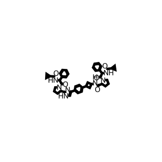 O=C(NC(C(=O)N1CCCC1C(=O)NC1CC(c2ccc(-c3c[nH]c(C4CCCN4C(=O)C(NC(=O)C4CC4)c4ccccc4)n3)cc2)C1)c1ccccc1)C1CC1